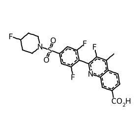 Cc1c(F)c(-c2c(F)cc(S(=O)(=O)N3CCC(F)CC3)cc2F)nc2cc(C(=O)O)ccc12